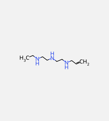 C=CCNCCNCCNCC